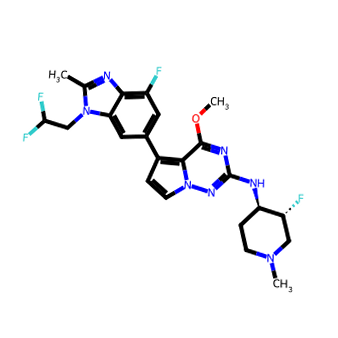 COc1nc(N[C@@H]2CCN(C)C[C@H]2F)nn2ccc(-c3cc(F)c4nc(C)n(CC(F)F)c4c3)c12